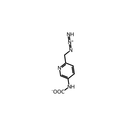 N=[N+]=NCc1ccc(NC(=O)[O-])cn1